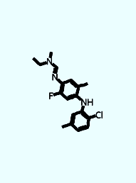 CCN(C)C=Nc1cc(C)c(Nc2cc(C)ccc2Cl)cc1F